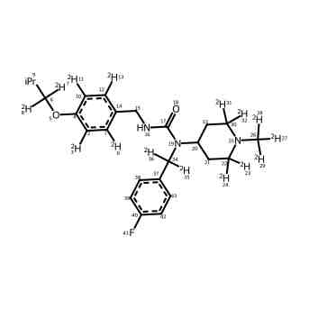 [2H]c1c([2H])c(OC([2H])([2H])C(C)C)c([2H])c([2H])c1CNC(=O)N(C1CC([2H])([2H])N(C([2H])([2H])[2H])C([2H])([2H])C1)C([2H])([2H])c1ccc(F)cc1